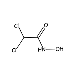 O=C(NO)C(Cl)Cl